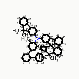 Cc1cc(-c2ccccc2-c2ccccc2)cc(C)c1N(c1ccc2c(c1)C(C)(C)c1ccccc1-2)c1ccc2c(c1)C1(c3ccccc3-2)c2ccccc2C(C)(C)c2ccccc21